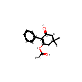 CC(C)C(=O)OC1=C(c2ccccc2)C(=O)CC(C)(C)C1